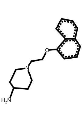 NC1CCN(CCOc2cccc3ccccc23)CC1